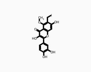 COc1c(CI)c(O)cc2oc(-c3ccc(O)c(O)c3)c(O)c(=O)c12